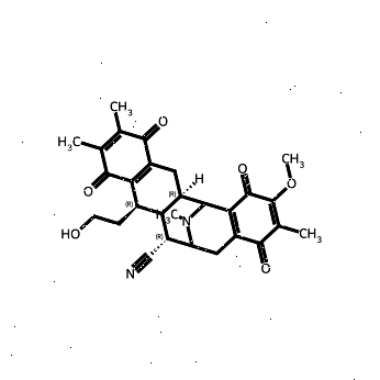 COC1=C(C)C(=O)C2=C(C1=O)C1[C@@H]3CC4=C(C(=O)C(C)=C(C)C4=O)[C@H](CCO)C3[C@@H](C#N)C(C2)N1C